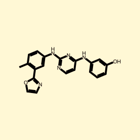 Cc1ccc(Nc2nccc(Nc3cccc(O)c3)n2)cc1-c1ncco1